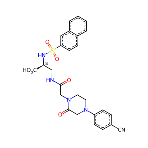 N#Cc1ccc(N2CCN(CC(=O)NC[C@H](NS(=O)(=O)c3ccc4ccccc4c3)C(=O)O)C(=O)C2)cc1